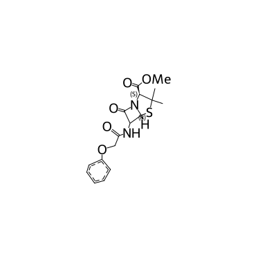 COC(=O)[C@@H]1N2C(=O)C(NC(=O)COc3ccccc3)[C@H]2SC1(C)C